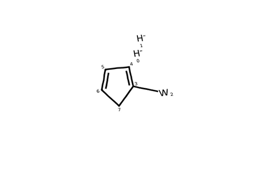 [H-].[H-].[W][C]1=CC=CC1